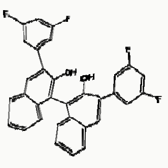 Oc1c(-c2cc(F)cc(F)c2)cc2ccccc2c1-c1c(O)c(-c2cc(F)cc(F)c2)cc2ccccc12